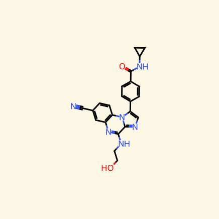 N#Cc1ccc2c(c1)nc(NCCO)c1ncc(-c3ccc(C(=O)NC4CC4)cc3)n12